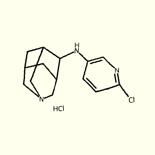 Cl.Clc1ccc(NC2C3CC4CC2CN(C4)C3)cn1